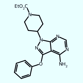 CCOC(=O)N1CCC(n2nc(Oc3ccccc3)c3c(N)ncnc32)CC1